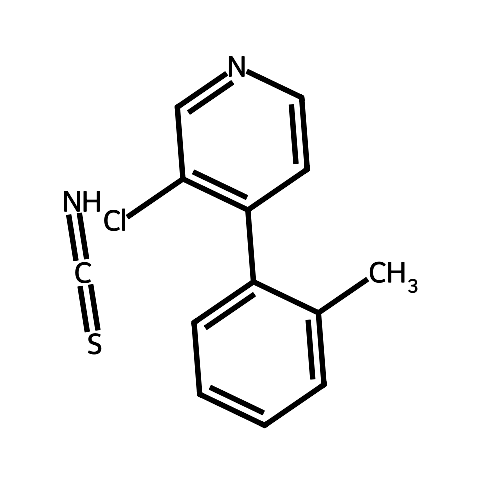 Cc1ccccc1-c1ccncc1Cl.N=C=S